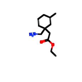 CCOC(=O)CC1(CN)CCCC(C)C1